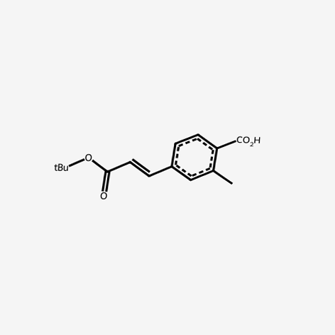 Cc1cc(/C=C/C(=O)OC(C)(C)C)ccc1C(=O)O